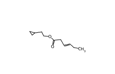 CCC=CCC(=O)OCCC1CC1